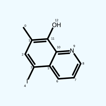 Cc1cc(I)c2cccnc2c1O